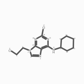 ClCCn1cnc2c(NC3CCCCC3)nc(Cl)nc21